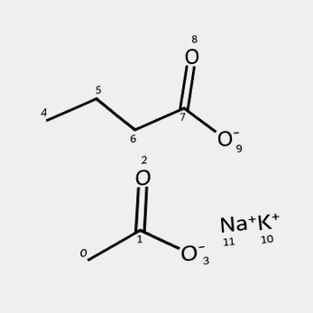 CC(=O)[O-].CCCC(=O)[O-].[K+].[Na+]